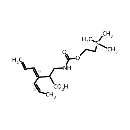 C=C/C=C(\C=C/C)C(CNC(=O)OCCS(C)(C)C)C(=O)O